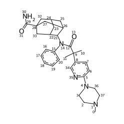 CN1CCN(c2ccc(C(C)(C)C(=O)N(c3ccccc3)C3C4CC5CC3CC(C(N)=O)(C5)C4)cn2)CC1